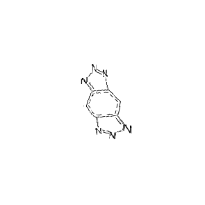 [c]1c2c(cc3c1=NN=N3)=NN=N2